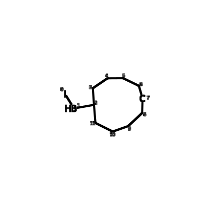 IBC1CCCCCCCCC1